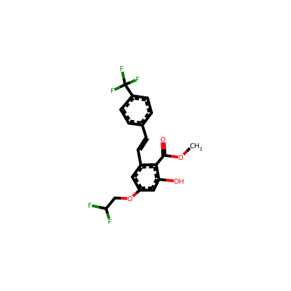 COC(=O)c1c(O)cc(OCC(F)F)cc1C=Cc1ccc(C(F)(F)F)cc1